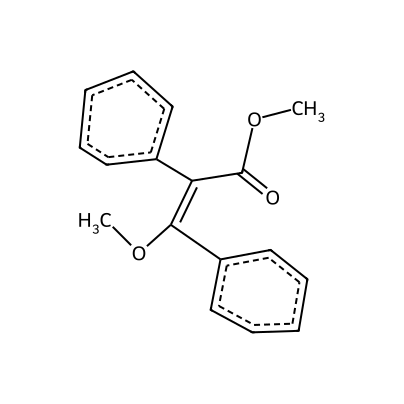 COC(=O)C(=C(OC)c1ccccc1)c1ccccc1